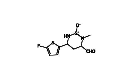 CN1C(C=O)CC(c2ccc(F)s2)N[S+]1[O-]